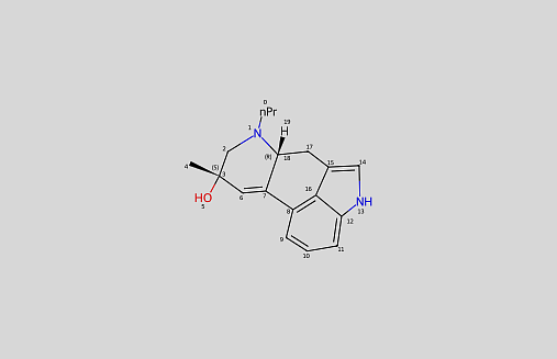 CCCN1C[C@@](C)(O)C=C2c3cccc4[nH]cc(c34)C[C@H]21